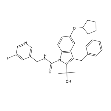 CC(C)(O)c1c(Cc2ccccc2)c2cc(OC3CCCC3)ccc2n1C(=O)NCc1cncc(F)c1